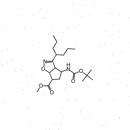 CCCC(CCC)C1=NOC2C(C(=O)OC)CC(NC(=O)OC(C)(C)C)C12